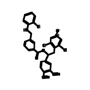 COc1ccc(C(Cc2c(Cl)c[n+]([O-])cc2Cl)OC(=O)c2cccc(CNc3ccccc3Cl)c2)cc1OC